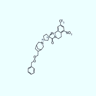 CC(C)[C@]1(C(=O)N2CCc3c(cc(C(F)(F)F)cc3[N+](=O)[O-])C2)CC[C@@H](N2CC3CC(COOCc4ccccc4)C(C3)C2)C1